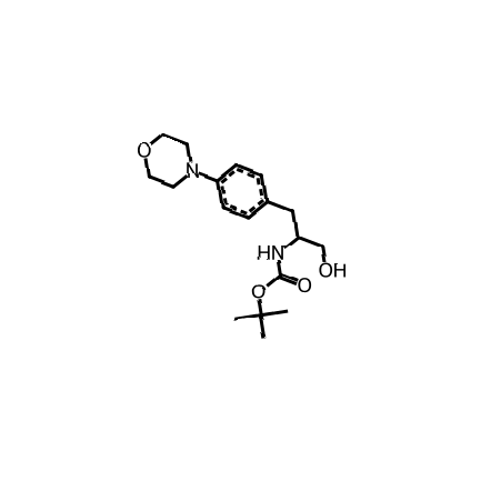 CC(C)(C)OC(=O)NC(CO)Cc1ccc(N2CCOCC2)cc1